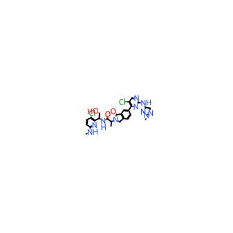 CNc1ccc(Cl)c(C(CO)NC(=O)C(C)N2Cc3ccc(-c4nc(Nc5cnn(C)n5)ncc4Cl)cc3C2=O)n1